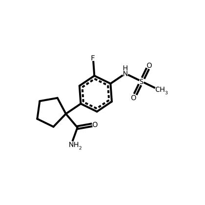 CS(=O)(=O)Nc1ccc(C2(C(N)=O)CCCC2)cc1F